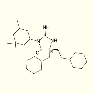 CC1CC(N2C(=N)N[C@](CCC3CCCCC3)(CC3CCCCC3)C2=O)CC(C)(C)C1